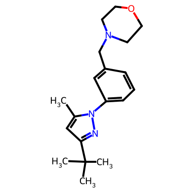 Cc1cc(C(C)(C)C)nn1-c1cccc(CN2CCOCC2)c1